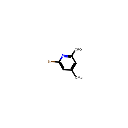 COc1cc(Br)nc(C=O)c1